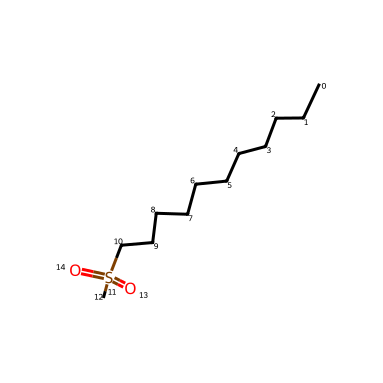 CCCCCCCCCCCS(C)(=O)=O